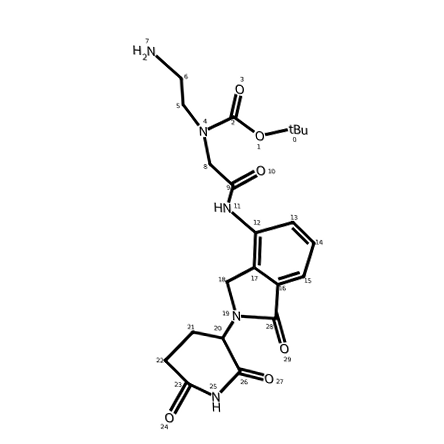 CC(C)(C)OC(=O)N(CCN)CC(=O)Nc1cccc2c1CN(C1CCC(=O)NC1=O)C2=O